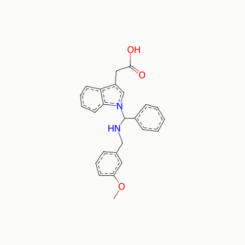 COc1cccc(CNC(c2ccccc2)n2cc(CC(=O)O)c3ccccc32)c1